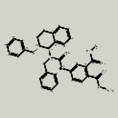 COC(=O)c1ccc(NC(=O)N(Cc2ccccc2)[C@@H]2c3ccccc3CC[C@H]2Cc2ccccc2)cc1C(=O)OC